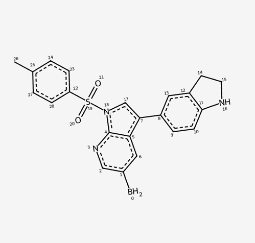 Bc1cnc2c(c1)c(-c1ccc3c(c1)CCN3)cn2S(=O)(=O)c1ccc(C)cc1